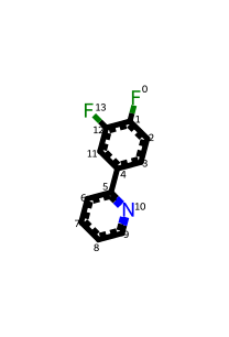 Fc1ccc(-c2[c]cccn2)cc1F